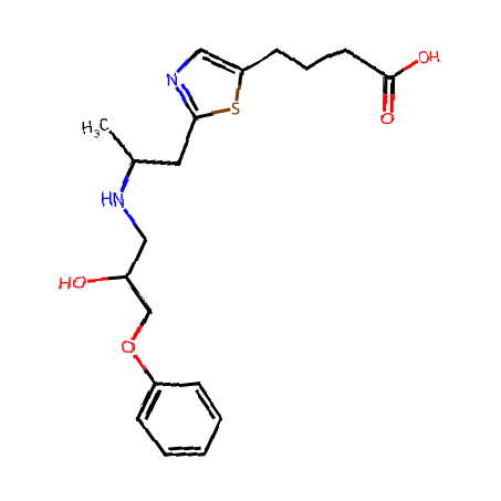 CC(Cc1ncc(CCCC(=O)O)s1)NCC(O)COc1ccccc1